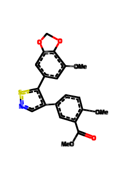 COC(=O)c1cc(-c2cnsc2-c2cc(OC)c3c(c2)OCO3)ccc1OC